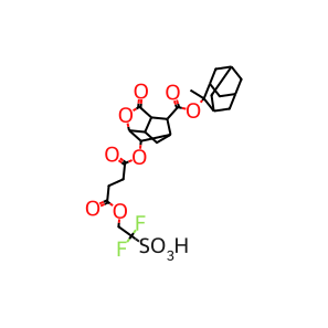 CC1(OC(=O)C2C3CC4C(OC(=O)C42)C3OC(=O)CCC(=O)OCC(F)(F)S(=O)(=O)O)C2CC3CC(C2)CC1C3